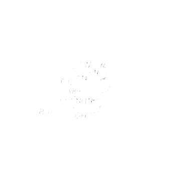 CC(C)(C)[S@@+]([O-])NC(O)(c1cccc(-c2ccc3cnn(-c4nccc(C(F)(F)F)n4)c3c2)n1)C1CC(O)C1